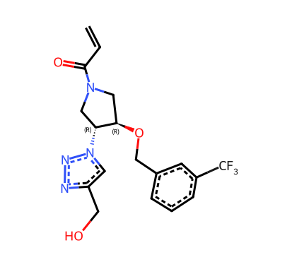 C=CC(=O)N1C[C@@H](n2cc(CO)nn2)[C@H](OCc2cccc(C(F)(F)F)c2)C1